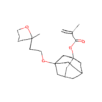 C=C(C)C(=O)OC12CC3CC(CC(OCCC4(C)CCO4)(C3)C1)C2